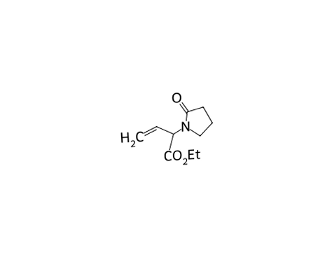 C=CC(C(=O)OCC)N1CCCC1=O